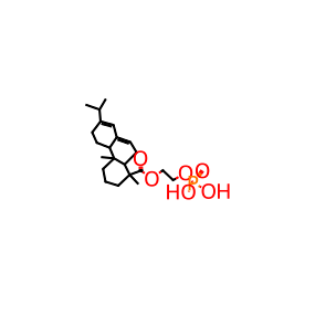 CC(C)C1=CC2=CCC3C(C)(C(=O)OCCOP(=O)(O)O)CCCC3(C)C2CC1